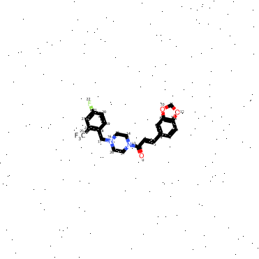 O=C(C=Cc1ccc2c(c1)OCO2)N1CCN(Cc2ccc(F)cc2C(F)(F)F)CC1